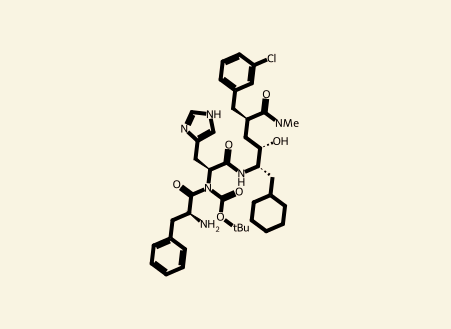 CNC(=O)[C@H](Cc1cccc(Cl)c1)C[C@H](O)[C@H](CC1CCCCC1)NC(=O)[C@H](Cc1c[nH]cn1)N(C(=O)OC(C)(C)C)C(=O)[C@@H](N)Cc1ccccc1